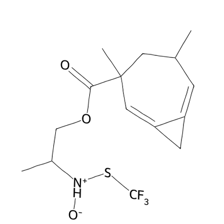 CC1C=C2CC2=CC(C)(C(=O)OCC(C)[NH+]([O-])SC(F)(F)F)C1